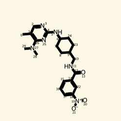 Cc1cnc(NC2CCC(CNC(=O)c3cccc([N+](=O)[O-])c3)CC2)nc1N(C)C